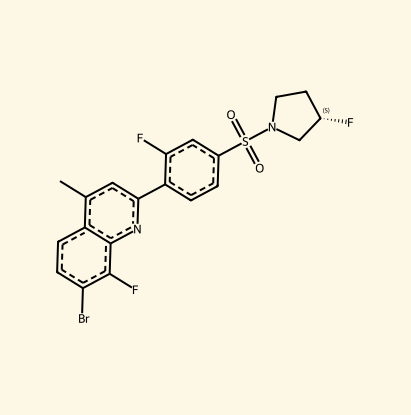 Cc1cc(-c2ccc(S(=O)(=O)N3CC[C@H](F)C3)cc2F)nc2c(F)c(Br)ccc12